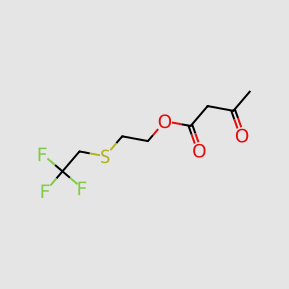 CC(=O)CC(=O)OCCSCC(F)(F)F